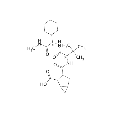 CNC(=O)[C@@H](NC(=O)[C@@H](NC(=O)C1CC2CC2C1C(=O)O)C(C)(C)C)C1CCCCC1